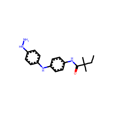 CCC(C)(C)C(=O)Nc1ccc(Nc2ccc(NN)cc2)cc1